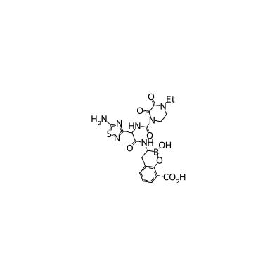 CCN1CCN(C(=O)NC(C(=O)N[C@H]2Cc3cccc(C(=O)O)c3OB2O)c2nsc(N)n2)C(=O)C1=O